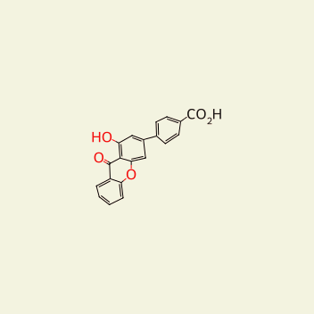 O=C(O)c1ccc(-c2cc(O)c3c(=O)c4ccccc4oc3c2)cc1